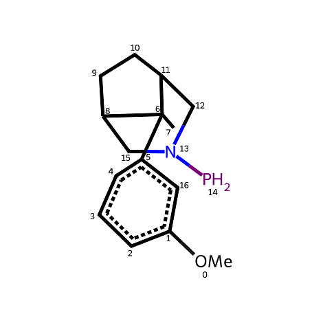 COc1cccc(C2(C)C3CCC2CN(P)C3)c1